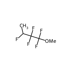 [CH2]OC(F)(F)C(F)(F)C(C)F